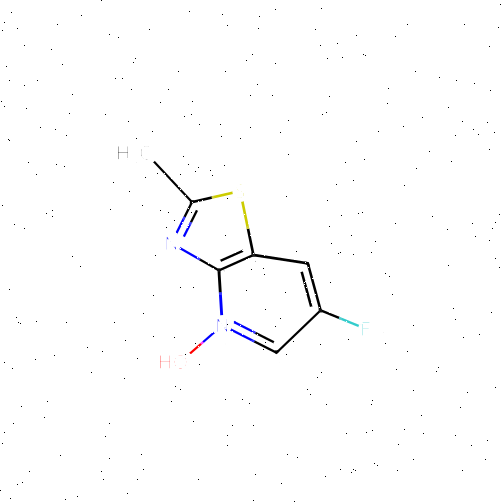 Cc1nc2c(cc(F)c[n+]2O)s1